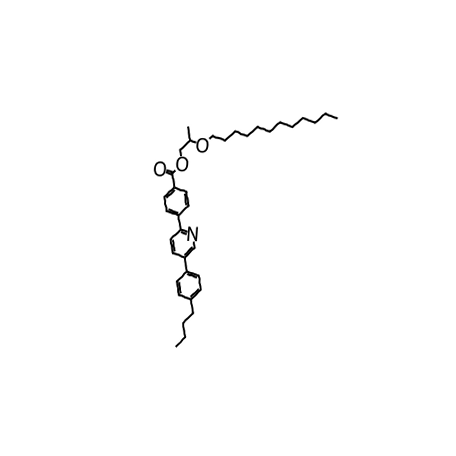 CCCCCCCCCCCCOC(C)COC(=O)c1ccc(-c2ccc(-c3ccc(CCCC)cc3)cn2)cc1